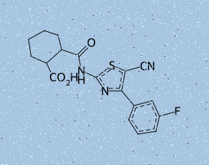 N#Cc1sc(NC(=O)C2CCCCC2C(=O)O)nc1-c1cccc(F)c1